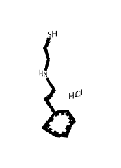 Cl.SCCNCCc1ccccc1